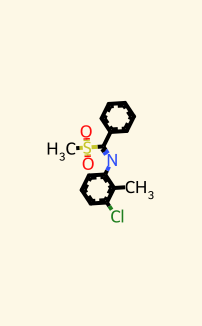 Cc1c(Cl)cccc1N=C(c1ccccc1)S(C)(=O)=O